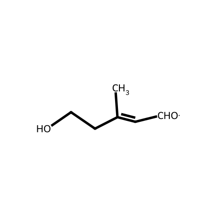 C/C(=C\[C]=O)CCO